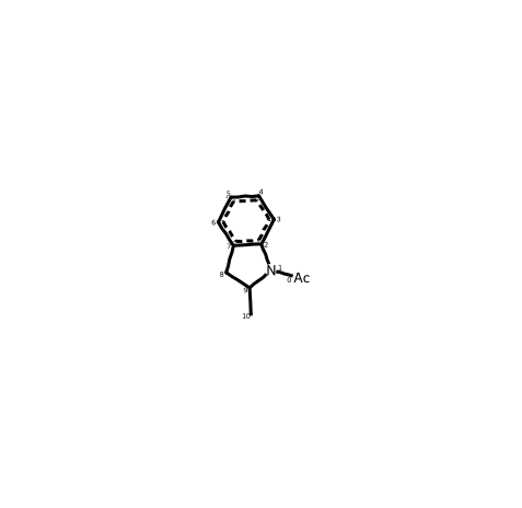 CC(=O)N1c2cc[c]cc2CC1C